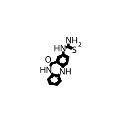 NC(=S)Nc1ccc2c(c1)C(=O)Nc1ccccc1N2